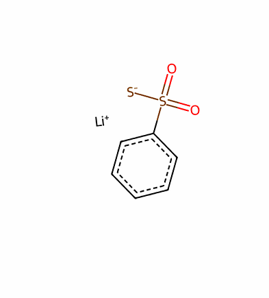 O=S(=O)([S-])c1ccccc1.[Li+]